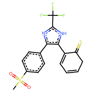 CS(=O)(=O)c1ccc(-c2nc(C(F)(F)F)[nH]c2C2=CC=CCC2=S)cc1